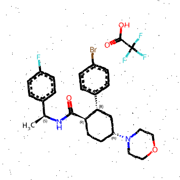 C[C@H](NC(=O)[C@@H]1CC[C@@H](N2CCOCC2)C[C@H]1c1ccc(Br)cc1)c1ccc(F)cc1.O=C(O)C(F)(F)F